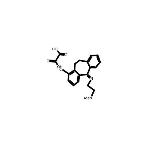 CNCCN=C1c2ccccc2CCc2c(Cl)cccc21.O=C(O)C(=O)O